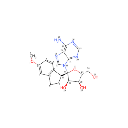 COc1ccc2c(c1)CCC2[C@@]1(n2cnc3c(N)ncnc32)O[C@H](CO)[C@@H](O)[C@H]1O